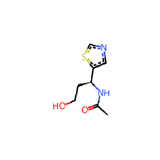 CC(=O)N[C@@H](CCO)c1cncs1